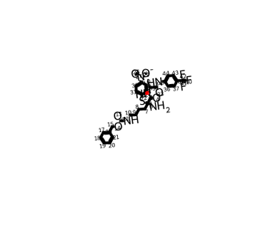 C[C@H](NC(=O)[C@@](N)(CCCCNC(=O)OCc1ccccc1)Sc1ccc([N+](=O)[O-])cc1)C(=O)Nc1ccc(C(F)(F)F)cc1